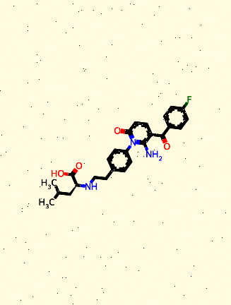 CC(C)C[C@H](NCCc1ccc(-n2c(N)c(C(=O)c3ccc(F)cc3)ccc2=O)cc1)C(=O)O